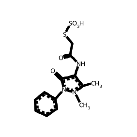 Cc1c(NC(=O)CSS(=O)(=O)O)c(=O)n(-c2ccccc2)n1C